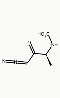 C[C@H](NC(=O)O)C(=O)C=[N+]=[N-]